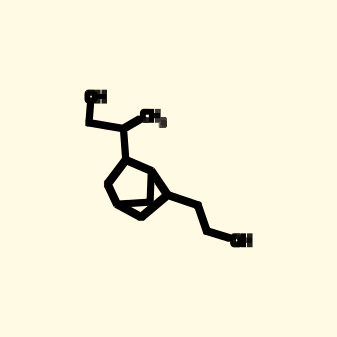 CC(CO)C1CC2CC(CCO)C1C2